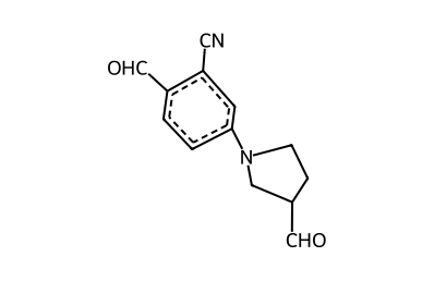 N#Cc1cc(N2CCC(C=O)C2)ccc1C=O